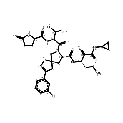 CCC[C@H](NC(=O)[C@@H]1C[C@]2(CC(c3cccc(Cl)c3)=NO2)CN1C(=O)[C@@H](NC(=O)C1CCC(=O)N1)C(C)C)C(=O)C(=O)NC1CC1